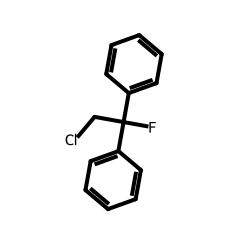 FC(CCl)(c1ccccc1)c1ccccc1